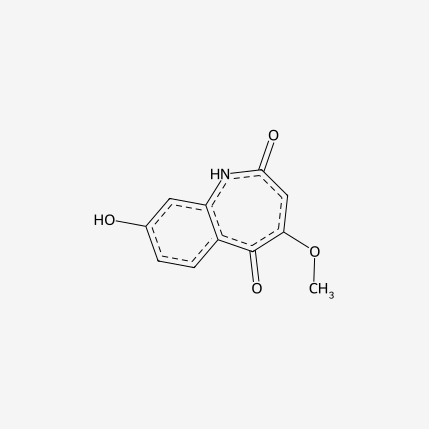 COc1cc(=O)[nH]c2cc(O)ccc2c1=O